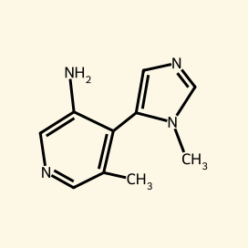 Cc1cncc(N)c1-c1cncn1C